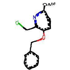 COc1ccc(OCc2ccccc2)c(CCl)n1